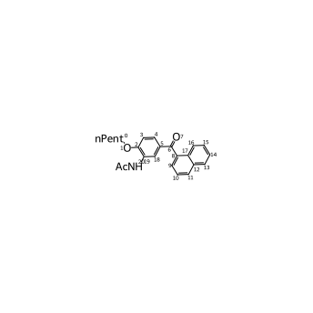 CCCCCOc1ccc(C(=O)c2cccc3ccccc23)cc1NC(C)=O